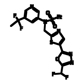 CCS(=O)(=O)N(Cc1ncc(-c2nnc(C(F)F)o2)s1)c1cncc(C(C)(F)F)c1